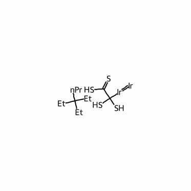 CCCC(CC)(CC)CC.S=C(S)[C](S)(S)[Ir]=[Ir]